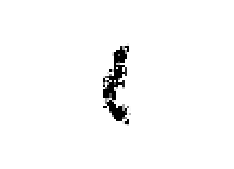 CSc1ccc(C=CC(=O)N2CCC(C(=O)NC(Cc3cn(Cc4ccc(Cl)cc4)cn3)C(=O)O)CC2)c(Cl)c1Cl